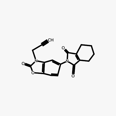 C#CCn1c(=O)oc2ccc(N3C(=O)C4=C(CCCC4)C3=O)cc21